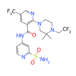 CC1(C)CN(c2ncc(C(F)(F)F)cc2C(=O)Nc2ccnc(S(N)(=O)=O)c2)CCN1CC(F)(F)F